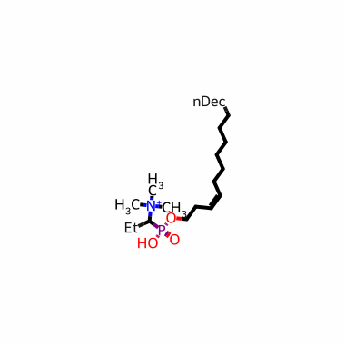 CCCCCCCCCCCCCCCC/C=C\CCOP(=O)(O)C(CC)[N+](C)(C)C